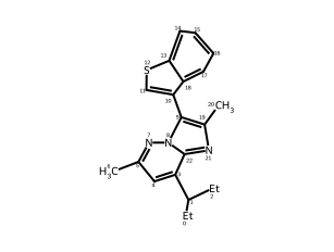 CCC(CC)c1cc(C)nn2c(-c3csc4ccccc34)c(C)nc12